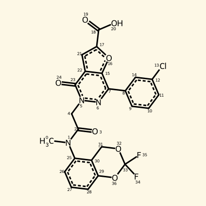 CN(C(=O)Cn1nc(-c2cccc(Cl)c2)c2oc(C(=O)O)cc2c1=O)c1cccc2c1[CH]OC(F)(F)O2